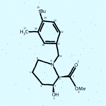 COC(=O)[C@H]1[C@@H](O)CCCN1Cc1ccc(C(C)(C)C)c(C)c1